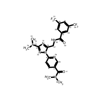 CN(C)C(=O)c1ccc(-n2nc(N(C)C)nc2CNC(=O)c2cc(C(F)(F)F)cc(C(F)(F)F)c2)nc1